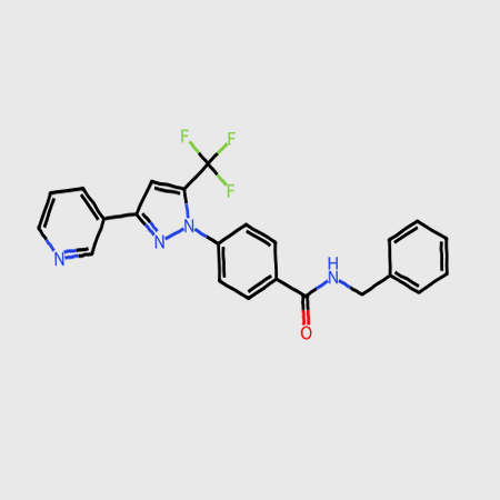 O=C(NCc1ccccc1)c1ccc(-n2nc(-c3cccnc3)cc2C(F)(F)F)cc1